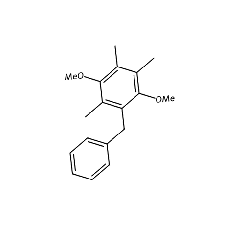 COc1c(C)c(C)c(OC)c(Cc2ccccc2)c1C